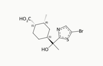 C[C@@H]1C[C@@H](C(C)(O)c2ncc(Br)s2)CC[C@@H]1C(=O)O